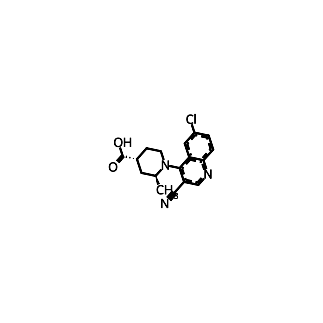 C[C@H]1C[C@H](C(=O)O)CCN1c1c(C#N)cnc2ccc(Cl)cc12